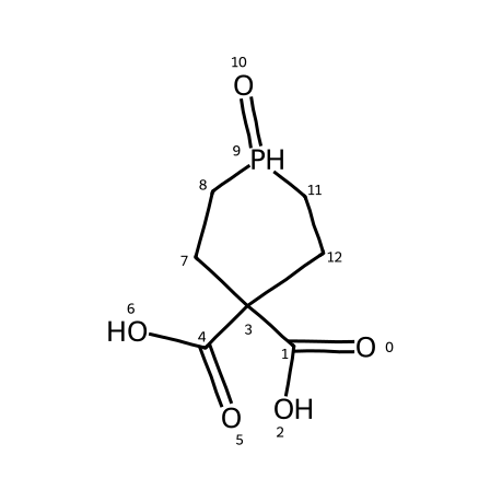 O=C(O)C1(C(=O)O)CC[PH](=O)CC1